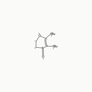 CC(C)(C)C1=C(C(C)(C)C)C(=O)CCO1